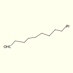 CC(C)CCCCCCCC[C]=O